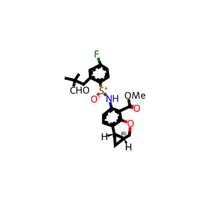 COC(=O)c1c(N[S+]([O-])c2ccc(F)cc2CC(C)(C)C=O)ccc2c1OC[C@@H]1C[C@H]21